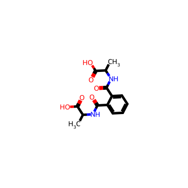 CC(NC(=O)c1ccccc1C(=O)NC(C)C(=O)O)C(=O)O